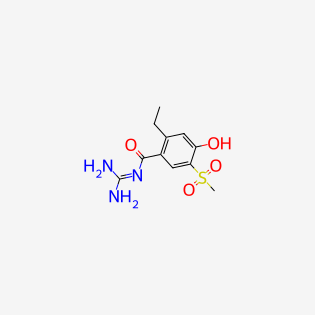 CCc1cc(O)c(S(C)(=O)=O)cc1C(=O)N=C(N)N